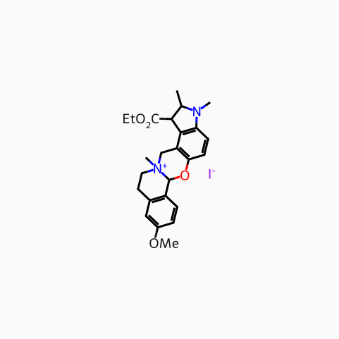 CCOC(=O)C1c2c(ccc3c2C[N+]2(C)CCc4cc(OC)ccc4C2O3)N(C)C1C.[I-]